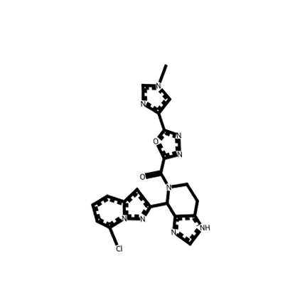 Cn1cnc(-c2nnc(C(=O)N3CCc4[nH]cnc4C3c3cc4cccc(Cl)n4n3)o2)c1